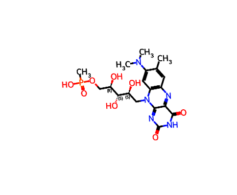 Cc1cc2nc3c(=O)[nH]c(=O)nc-3n(C[C@H](O)[C@H](O)[C@H](O)COP(C)(=O)O)c2cc1N(C)C